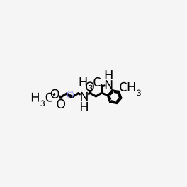 COC(=O)/C=C/CNC(=O)CC1c2cccc(C)c2NC1C